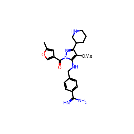 COc1c(C2CCCNC2)nn(C(=O)c2coc(C)c2)c1NCc1ccc(C(=N)N)cc1